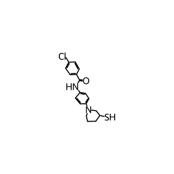 O=C(Nc1ccc(N2CCCC(S)C2)cc1)c1ccc(Cl)cc1